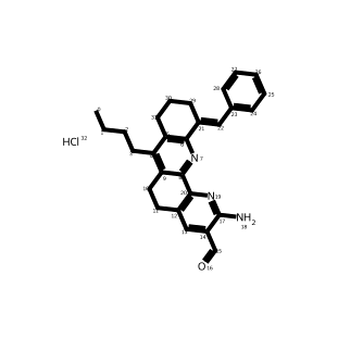 CCCCc1c2c(nc3c1CCc1cc(C=O)c(N)nc1-3)C(=Cc1ccccc1)CCC2.Cl